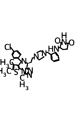 Cc1sc2c(c1C)C(c1ccc(Cl)cc1)=N[C@@H](CCN1CCN(Cc3ccccc3NC3CCC(=O)NC3=O)CC1)c1nnc(C)n1-2